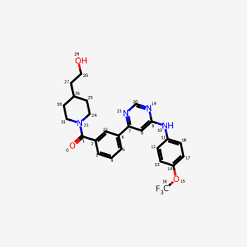 O=C(c1cccc(-c2cc(Nc3ccc(OC(F)(F)F)cc3)ncn2)c1)N1CCC(CCO)CC1